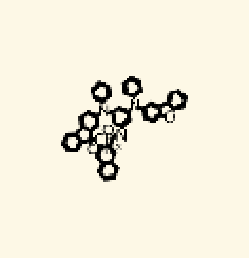 CC1(C)c2ccccc2-c2ccc(N(c3ccccc3)c3cc(N(c4ccccc4)c4ccc5oc6ccccc6c5c4)cc4nc(-c5ccc6ccccc6c5)oc34)cc21